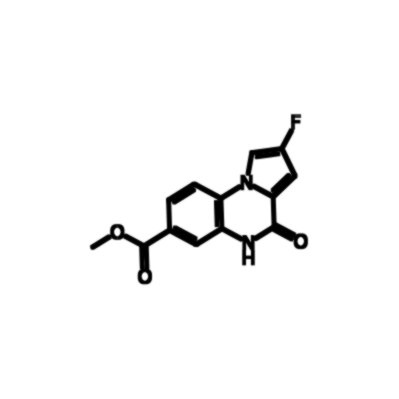 COC(=O)c1ccc2c(c1)[nH]c(=O)c1cc(F)cn12